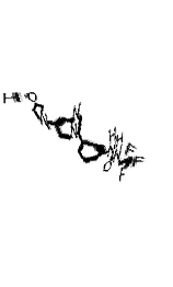 O=C(NCC(F)(F)F)Nc1cccc(-c2cnc3cc(N4CCC(O)C4)ccn23)c1